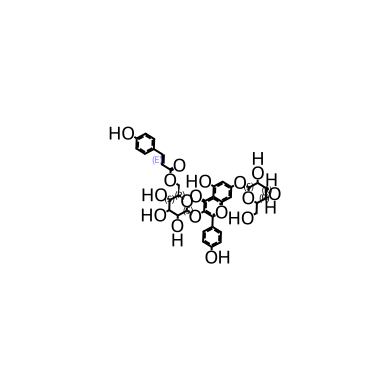 O=C(/C=C/c1ccc(O)cc1)OC[C@H]1O[C@@H](Oc2c(-c3ccc(O)cc3)oc3cc(O[C@@H]4OC(CO)[C@H]5O[C@@H]5C4O)cc(O)c3c2=O)C(O)C(O)[C@@H]1O